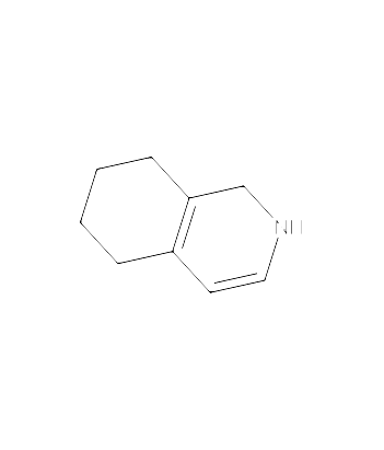 C1=CC2=C(CCCC2)CN1